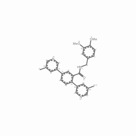 COc1ccc(CNC(=O)c2cc(-c3cncc(C)c3)ccc2-c2cncc(F)c2)cc1OC